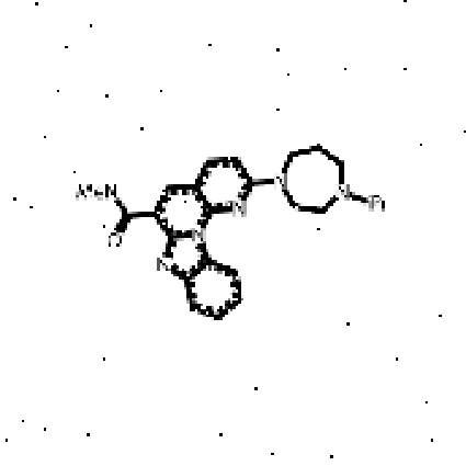 CNC(=O)c1cc2ccc(N3CCCN(C(C)C)CC3)nc2n2c1nc1ccccc12